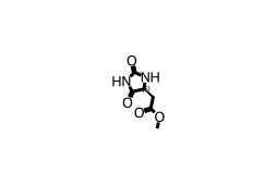 COC(=O)C[C@@H]1NC(=O)NC1=O